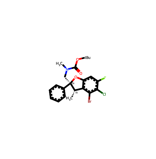 C[C@H]1c2c(cc(F)c(Cl)c2Br)O[C@]1(CN(C)C(=O)OC(C)(C)C)c1ccccc1